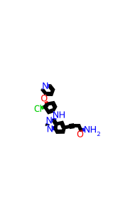 NC(=O)CC#Cc1ccc2ncnc(Nc3ccc(Oc4cccnc4)c(Cl)c3)c2c1